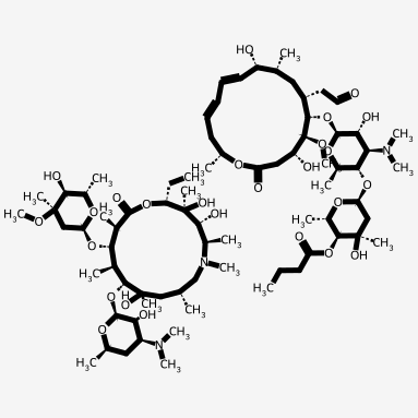 CCCC(=O)O[C@H]1[C@H](C)O[C@@H](O[C@H]2[C@H](N(C)C)[C@@H](O)[C@H](O[C@H]3[C@@H](CC=O)C[C@@H](C)[C@@H](O)/C=C/C=C/C[C@@H](C)OC(=O)C[C@@H](O)[C@@H]3OC)O[C@@H]2C)C[C@@]1(C)O.CC[C@H]1OC(=O)[C@H](C)[C@@H](O[C@H]2C[C@@](C)(OC)[C@@H](O)[C@H](C)O2)[C@H](C)[C@@H](O[C@@H]2O[C@H](C)C[C@H](N(C)C)[C@H]2O)[C@](C)(O)C[C@@H](C)CN(C)[C@H](C)[C@@H](O)[C@]1(C)O